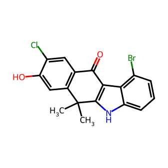 CC1(C)c2cc(O)c(Cl)cc2C(=O)c2c1[nH]c1cccc(Br)c21